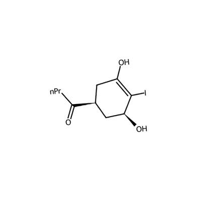 CCCC(=O)[C@H]1CC(O)=C(I)[C@@H](O)C1